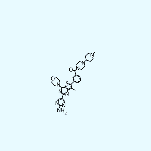 Cc1c(-c2cccc(C(=O)N3CCN(C4CCN(C)CC4)CC3)c2)sc2c(N3CCOCC3)nc(-c3cnc(N)nc3)nc12